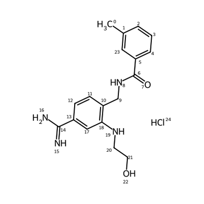 Cc1cccc(C(=O)NCc2ccc(C(=N)N)cc2NCCO)c1.Cl